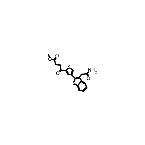 COC(=O)CCC(=O)c1cc(-c2sc3ccccc3c2CC(N)=O)cs1